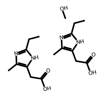 CCc1nc(C)c(CC(=O)O)[nH]1.CCc1nc(C)c(CC(=O)O)[nH]1.CO